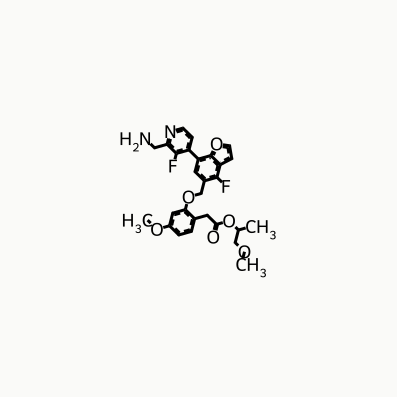 COCC(C)OC(=O)Cc1ccc(OC)cc1OCc1cc(-c2ccnc(CN)c2F)c2occc2c1F